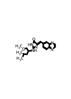 COCC(CC(C)C)NC1=N/C(=C\c2ccc3nccnc3c2)C(=O)N1